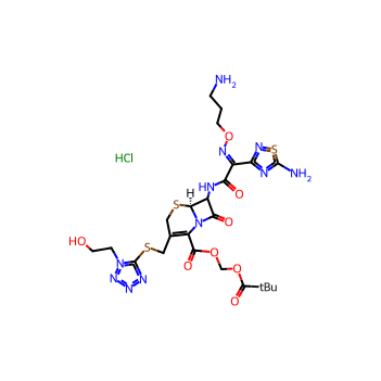 CC(C)(C)C(=O)OCOC(=O)C1=C(CSc2nnnn2CCO)CS[C@H]2C(NC(=O)C(=NOCCCN)c3nsc(N)n3)C(=O)N12.Cl